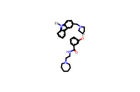 CCn1c2ccccc2c2cc(CN3CC[C@H](Oc4cccc(C(=O)NCCN5CCCCCC5)c4)C3)ccc21